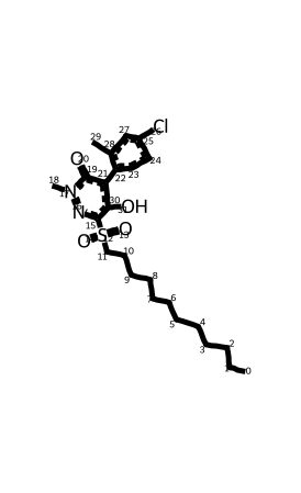 CCCCCCCCCCCCS(=O)(=O)c1nn(C)c(=O)c(-c2ccc(Cl)cc2C)c1O